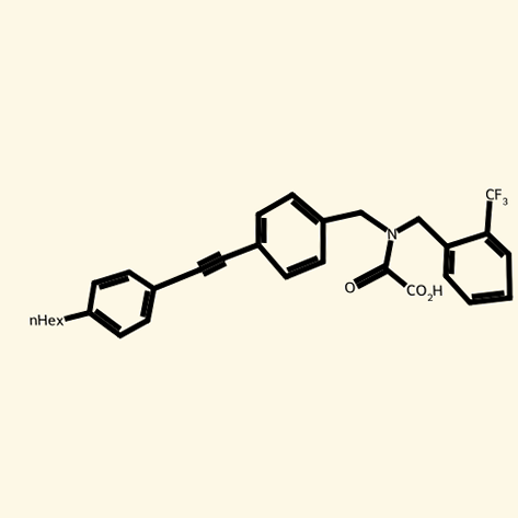 CCCCCCc1ccc(C#Cc2ccc(CN(Cc3ccccc3C(F)(F)F)C(=O)C(=O)O)cc2)cc1